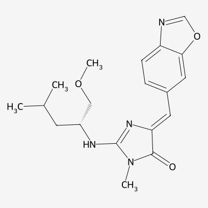 COC[C@@H](CC(C)C)NC1=N/C(=C\c2ccc3ncoc3c2)C(=O)N1C